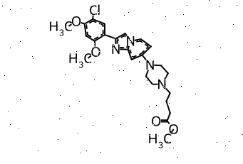 COC(=O)CCCN1CCN(c2ccn3cc(-c4cc(Cl)c(OC)cc4OC)nc3c2)CC1